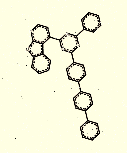 c1ccc(-c2ccc(-c3ccc(-c4nc(-c5ccccc5)nc(-c5ccnc6oc7ccccc7c56)n4)cc3)cc2)cc1